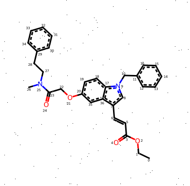 CCOC(=O)C=Cc1cn(Cc2ccccc2)c2ccc(OCC(=O)N(C)CCc3ccccc3)cc12